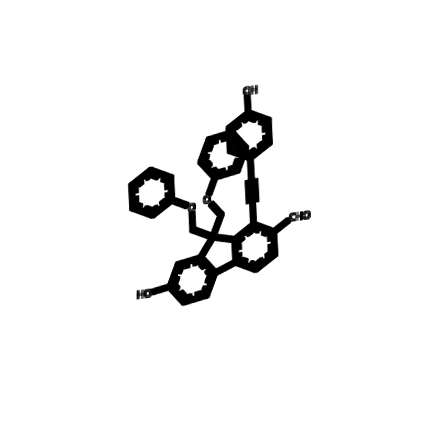 O=Cc1ccc2c(c1C#Cc1ccc(O)cc1)C(COc1ccccc1)(COc1ccccc1)c1cc(O)ccc1-2